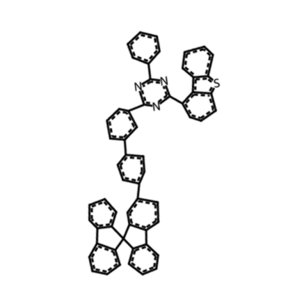 c1ccc(-c2nc(-c3cccc(-c4ccc(-c5ccc6c(c5)C5(c7ccccc7-c7ccccc75)c5ccccc5-6)cc4)c3)nc(-c3cccc4sc5ccccc5c34)n2)cc1